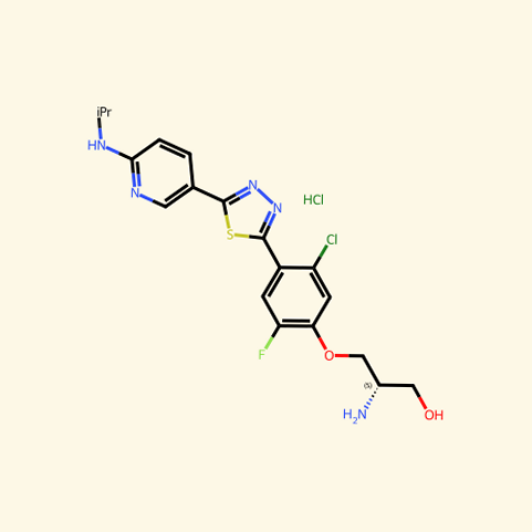 CC(C)Nc1ccc(-c2nnc(-c3cc(F)c(OC[C@@H](N)CO)cc3Cl)s2)cn1.Cl